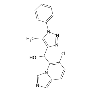 Cc1c(C(O)c2c(Cl)ccc3cncn23)nnn1-c1ccccc1